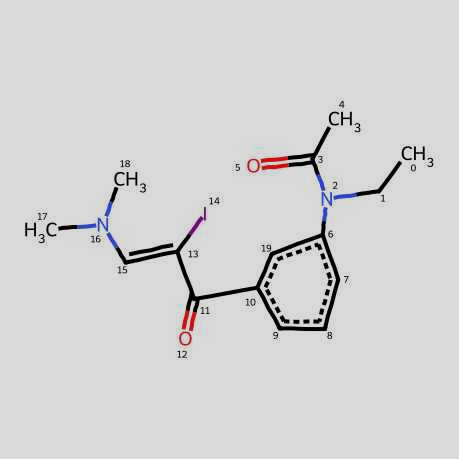 CCN(C(C)=O)c1cccc(C(=O)C(I)=CN(C)C)c1